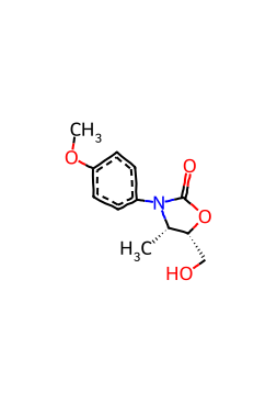 COc1ccc(N2C(=O)O[C@H](CO)[C@@H]2C)cc1